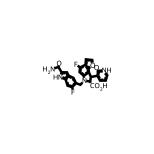 NC(=O)c1cc2cc(CN3c4cc(F)c5ccoc5c4C(c4ccc[nH]c4=O)C3C(=O)O)c(F)cc2[nH]1